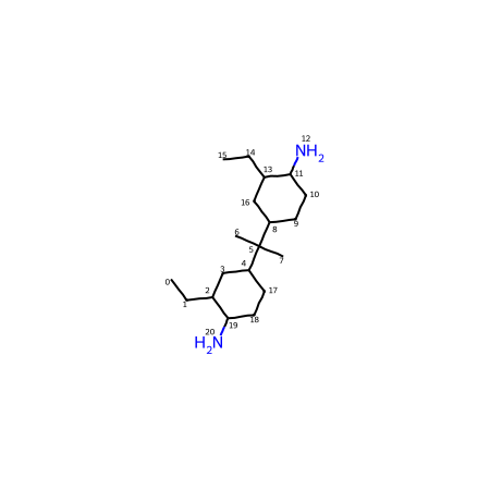 CCC1CC(C(C)(C)C2CCC(N)C(CC)C2)CCC1N